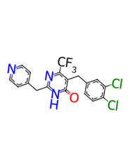 O=c1[nH]c(Cc2ccncc2)nc(C(F)(F)F)c1Cc1ccc(Cl)c(Cl)c1